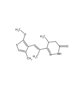 COc1scc(C)c1C=C(C)C1=NNC(=O)CC1C